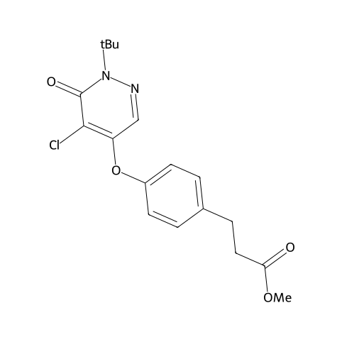 COC(=O)CCc1ccc(Oc2cnn(C(C)(C)C)c(=O)c2Cl)cc1